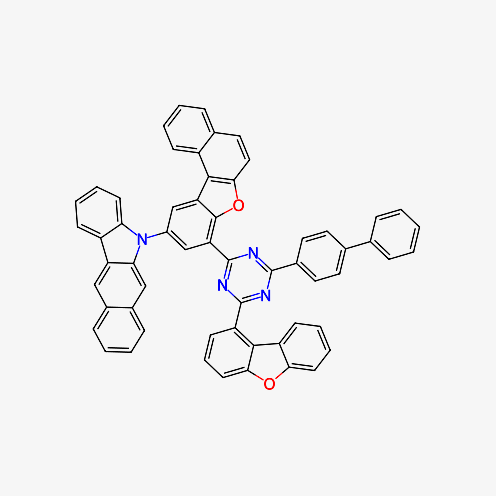 c1ccc(-c2ccc(-c3nc(-c4cc(-n5c6ccccc6c6cc7ccccc7cc65)cc5c4oc4ccc6ccccc6c45)nc(-c4cccc5oc6ccccc6c45)n3)cc2)cc1